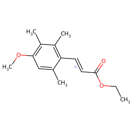 CCOC(=O)/C=C/c1c(C)cc(OC)c(C)c1C